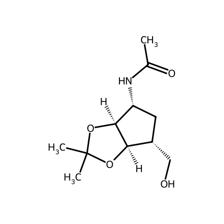 CC(=O)N[C@@H]1C[C@H](CO)[C@H]2OC(C)(C)O[C@H]21